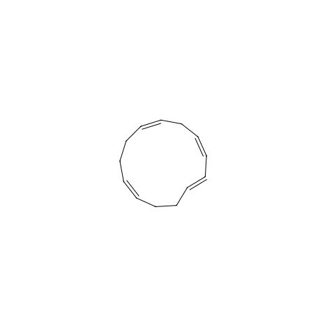 C1=C\C/C=C\CC/C=C\CC/C=C/1